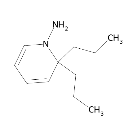 CCCC1(CCC)C=CC=CN1N